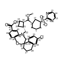 COC([C@@H]1CCC[C@H](S(=O)(=O)c2ncccn2)C1)[C@@H]1CC[C@H]1CN1CC2(CCCc3cc(Cl)ccc32)COc2ccc(C(=O)O)cc21